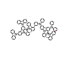 Cc1cccc2c3ccccc3n(B3c4ccccc4-n4c5ccc(N(c6ccccc6)c6cccc(-c7ccc(C)c8c7c7ccccc7n8B7c8ccccc8-n8c9ccc(-n%10c%11ccccc%11c%11ccccc%11%10)cc9c9cc(-n%10c%11ccccc%11c%11ccccc%11%10)cc7c98)c6)cc5c5cc(N(c6ccccc6)c6ccccc6)cc3c54)c12